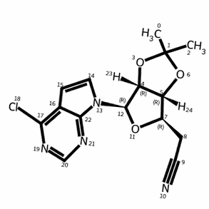 CC1(C)O[C@@H]2[C@H](O1)[C@@H](CC#N)O[C@H]2n1ccc2c(Cl)ncnc21